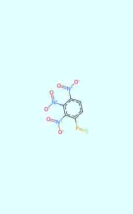 O=[N+]([O-])c1ccc(P=S)c([N+](=O)[O-])c1[N+](=O)[O-]